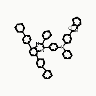 c1ccc(-c2ccc(-c3ccc(-c4ccc(-c5ccccc5)cc4)c4nc(-c5ccc(N(c6ccccc6)c6ccc(-c7nc8ccccc8o7)cc6)cc5)c(-c5ccccc5)nc34)cc2)cc1